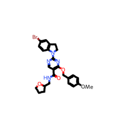 COc1ccc(COc2nc(N3CCc4cc(Br)ccc43)ncc2C(=O)NCC2CCCO2)cc1